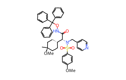 COc1ccc(S(=O)(=O)N(Cc2ccncc2)[C@@H](C(=O)NOC(c2ccccc2)(c2ccccc2)c2ccccc2)[C@H]2CC[C@](C)(OC)CC2)cc1